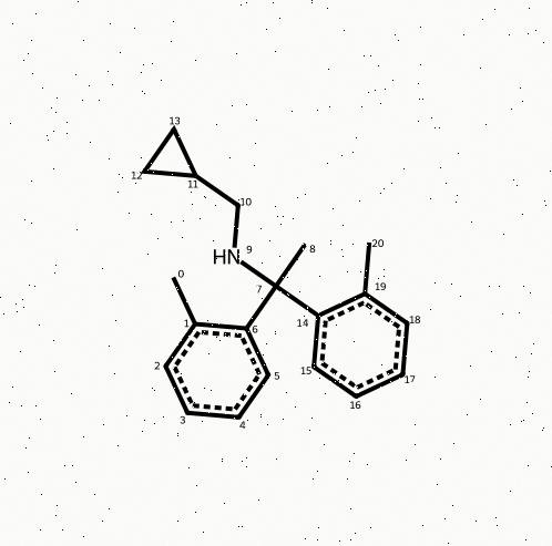 Cc1ccccc1C(C)(NCC1CC1)c1ccccc1C